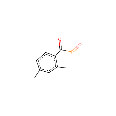 Cc1ccc(C(=O)P=O)c(C)c1